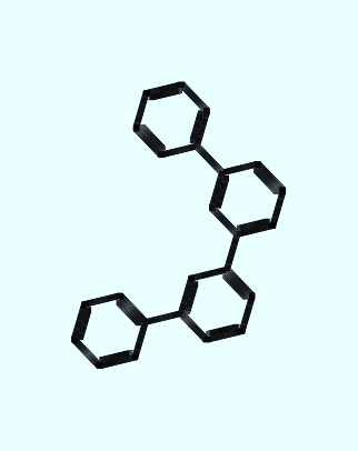 c1ccc(-c2cccc(-c3cccc(-c4ccccc4)c3)c2)cc1